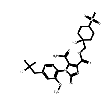 CCc1nc(C(=O)NCC2(O)CCC(S(C)(=O)=O)CC2)c(C(N)=O)n1-c1ccc(CC(C)(C)C(F)(F)F)cc1OC(F)(F)F